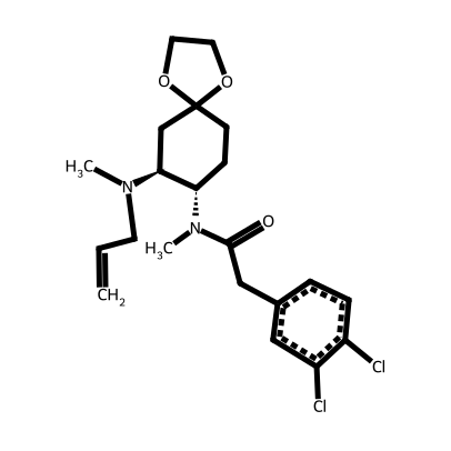 C=CCN(C)[C@H]1CC2(CC[C@@H]1N(C)C(=O)Cc1ccc(Cl)c(Cl)c1)OCCO2